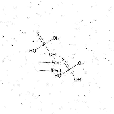 CCCC(C)C.CCCC(C)C.OP(O)(O)=S.OP(O)(O)=S